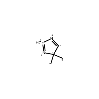 CC1(C)C=[N][GeH]=[N]1